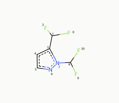 FC(F)c1ccnn1C(F)F